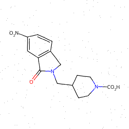 O=C(O)N1CCC(CN2Cc3ccc([N+](=O)[O-])cc3C2=O)CC1